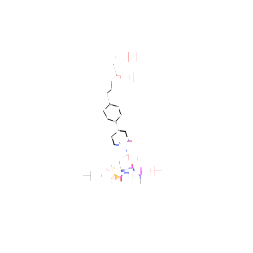 CC(CCn1ccc(-c2ccc(C=CCC(O)CO)cc2)cc1=O)(C(=O)NO)S(C)(=O)=O